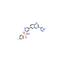 Cn1cc(-c2cnc3ccc(-c4cncc(NS(=O)(=O)c5ccc(F)cc5)c4)cc3n2)cn1